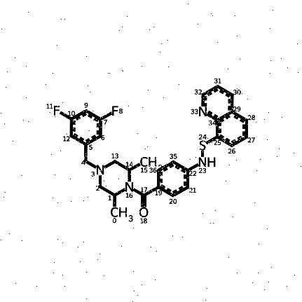 CC1CN(Cc2cc(F)cc(F)c2)CC(C)N1C(=O)c1ccc(NSc2cccc3cccnc23)cc1